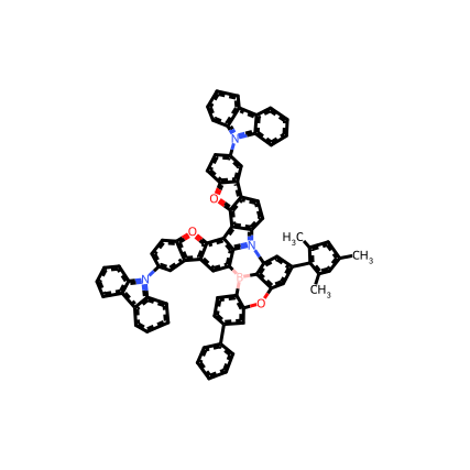 Cc1cc(C)c(-c2cc3c4c(c2)-n2c5ccc6c7cc(-n8c9ccccc9c9ccccc98)ccc7oc6c5c5c6oc7ccc(-n8c9ccccc9c9ccccc98)cc7c6cc(c52)B4c2ccc(-c4ccccc4)cc2O3)c(C)c1